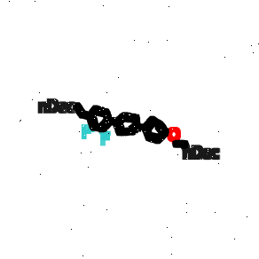 CCCCCCCCCCCCOc1ccc(-c2ccc(-c3ccc(CCCCCCCCCCCC)c(F)c3F)cc2)cc1